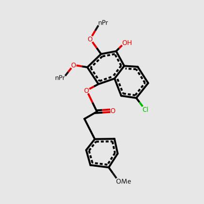 CCCOc1c(OCCC)c(OC(=O)Cc2ccc(OC)cc2)c2cc(Cl)ccc2c1O